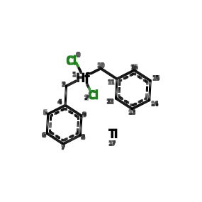 [Cl][Hf]([Cl])([CH2]c1ccccc1)[CH2]c1ccccc1.[Ti]